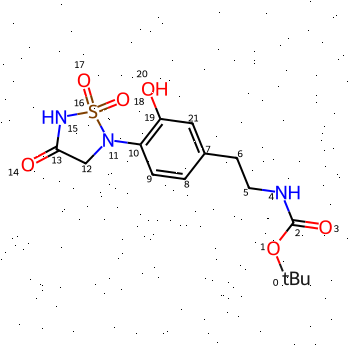 CC(C)(C)OC(=O)NCCc1ccc(N2CC(=O)NS2(=O)=O)c(O)c1